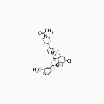 CC(=O)N1CCC(c2ccc([C@@H](C/C(=N\O)c3ccnc(C)c3)c3ccc(Cl)cc3C)cc2)CC1